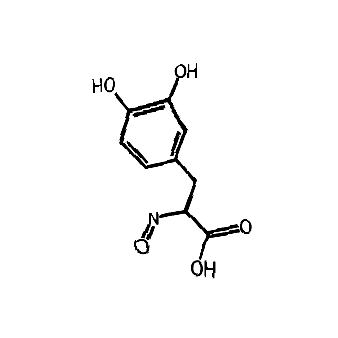 O=NC(Cc1ccc(O)c(O)c1)C(=O)O